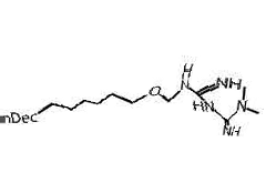 CCCCCCCCCCCCCCCCOCNC(=N)NC(=N)N(C)C